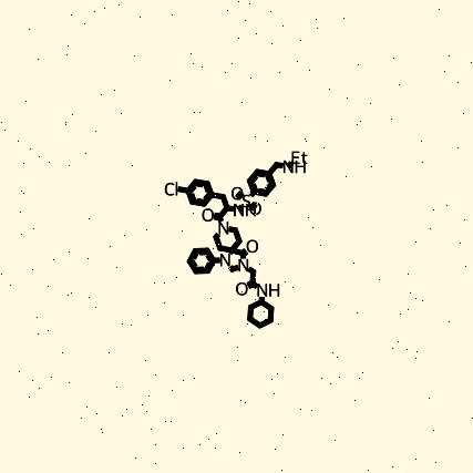 CCNCc1ccc(S(=O)(=O)NC(Cc2ccc(Cl)cc2)C(=O)N2CCC3(CC2)C(=O)N(CC(=O)NC2CCCCC2)CN3c2ccccc2)cc1